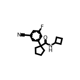 N#Cc1cc(F)cc(C2(C(=O)NC3CCC3)CCCC2)c1